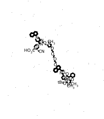 C[C@@H](C(=O)N[C@H](C(=O)N1CCCC1c1nc(-c2ccc(OCCOCCOCCO[C@@H]3C[C@@H](COc4nc5c(c(N6CCN(C(=O)O)[C@@H](CC#N)C6)n4)CCN(c4cccc6ccccc46)C5)N(C)C3)c3ccccc23)cs1)C1CCCCC1)N(C)C(=O)OC(C)(C)C